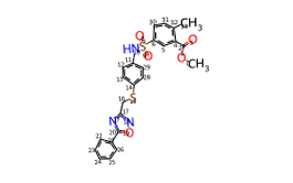 COC(=O)c1cc(S(=O)(=O)Nc2ccc(SCc3noc(-c4ccccc4)n3)cc2)ccc1C